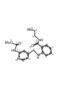 COC(=O)Nc1cc(CNc2ccccc2C(=O)NCCC(C)(C)C)ccn1